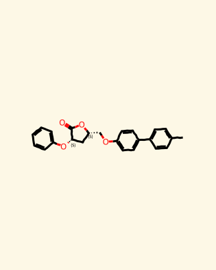 Cc1ccc(-c2ccc(OC[C@@H]3C[C@H](Oc4ccccc4)C(=O)O3)cc2)cc1